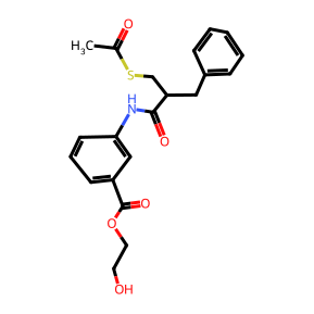 CC(=O)SCC(Cc1ccccc1)C(=O)Nc1cccc(C(=O)OCCO)c1